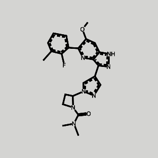 COc1cc2[nH]nc(-c3cnn(C4CCN4C(=O)N(C)C)c3)c2nc1-c1cccc(C)c1F